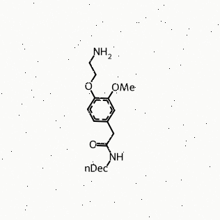 CCCCCCCCCCNC(=O)Cc1ccc(OCCN)c(OC)c1